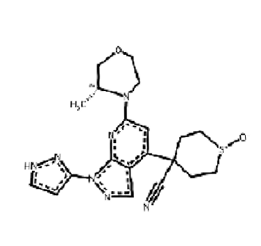 C[C@@H]1COCCN1c1cc(C2(C#N)CC[S+]([O-])CC2)c2cnn(-c3cc[nH]n3)c2n1